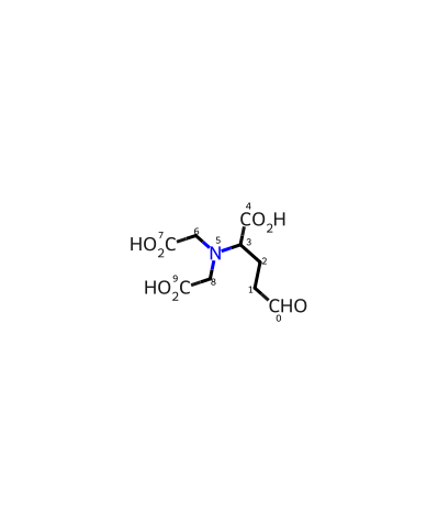 O=CCCC(C(=O)O)N(CC(=O)O)CC(=O)O